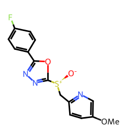 COc1ccc(C[S@+]([O-])c2nnc(-c3ccc(F)cc3)o2)nc1